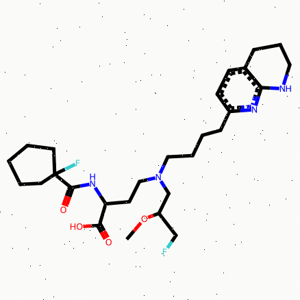 COC(CF)CN(CCCCc1ccc2c(n1)NCCC2)CCC(NC(=O)C1(F)CCCCC1)C(=O)O